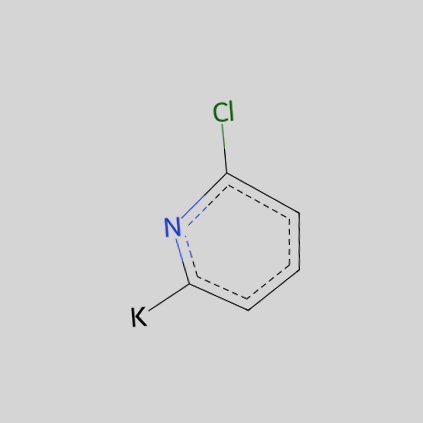 Clc1ccc[c]([K])n1